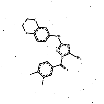 Cc1ccc(C(=O)n2nc(Nc3ccc4c(c3)OCCO4)nc2N)cc1C